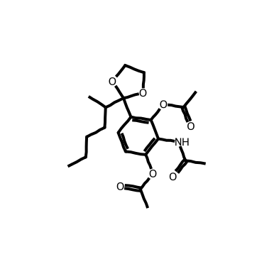 CCCCC(C)C1(c2ccc(OC(C)=O)c(NC(C)=O)c2OC(C)=O)OCCO1